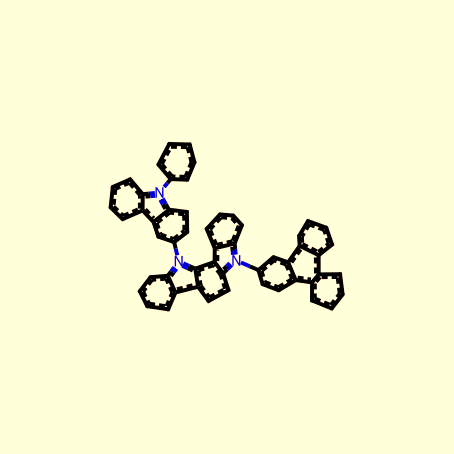 c1ccc(-n2c3ccccc3c3cc(-n4c5ccccc5c5ccc6c(c7ccccc7n6-c6ccc7c8ccccc8c8ccccc8c7c6)c54)ccc32)cc1